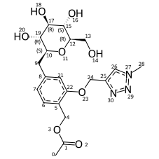 CC(=O)OCc1ccc(C[C@@H]2O[C@H](CO)[C@@H](O)[C@H](O)[C@H]2O)cc1OCc1cn(C)nn1